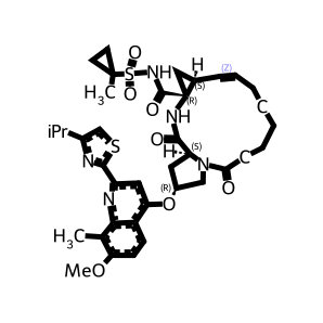 COc1ccc2c(O[C@@H]3C[C@H]4C(=O)N[C@]5(C(=O)NS(=O)(=O)C6(C)CC6)C[C@H]5/C=C\CCCCCC(=O)N4C3)cc(-c3nc(C(C)C)cs3)nc2c1C